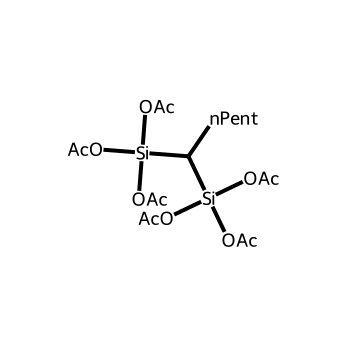 CCCCCC([Si](OC(C)=O)(OC(C)=O)OC(C)=O)[Si](OC(C)=O)(OC(C)=O)OC(C)=O